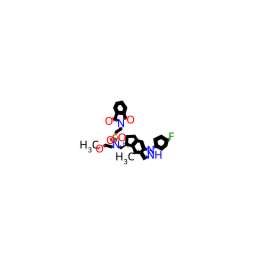 COCCN(C[C@H]1CCC2=C1[C@@H](C)C1=CNN(c3ccc(F)cc3)C1=C2)S(=O)(=O)CCN1C(=O)c2ccccc2C1=O